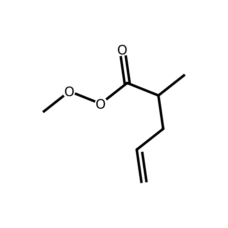 C=CCC(C)C(=O)OOC